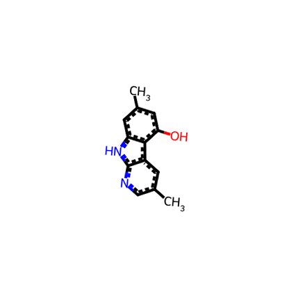 Cc1cc(O)c2c(c1)[nH]c1ncc(C)cc12